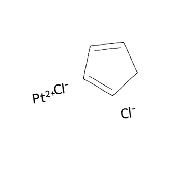 C1=CCC=C1.[Cl-].[Cl-].[Pt+2]